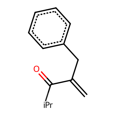 C=C(Cc1ccccc1)C(=O)C(C)C